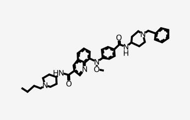 CCCCN1CCC(NC(=O)c2cnc3c(N(OC)c4ccc(C(=O)NC5CCN(Cc6ccccc6)CC5)cc4)cccc3c2)CC1